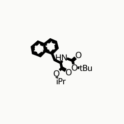 CC(C)OC(=O)C(Cc1cccc2ccccc12)NC(=O)OC(C)(C)C